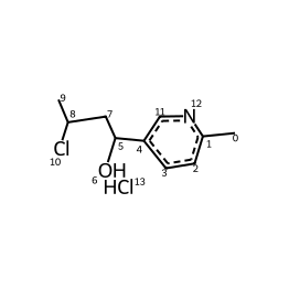 Cc1ccc(C(O)CC(C)Cl)cn1.Cl